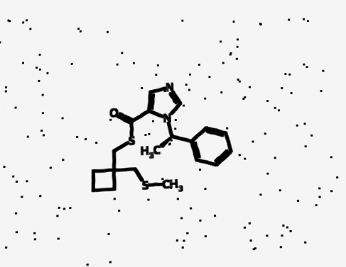 CSCC1(CSC(=O)c2cncn2[C@H](C)c2ccccc2)CCC1